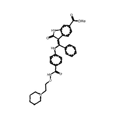 COC(=O)c1ccc2c(c1)NC(=O)/C2=C(\Nc1ccc(C(=O)NOCCN2CCCCC2)cc1)c1ccccc1